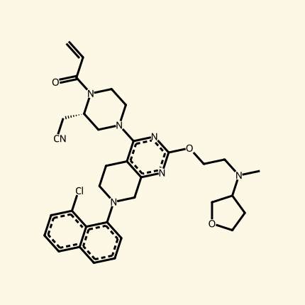 C=CC(=O)N1CCN(c2nc(OCCN(C)C3CCOC3)nc3c2CCN(c2cccc4cccc(Cl)c24)C3)C[C@@H]1CC#N